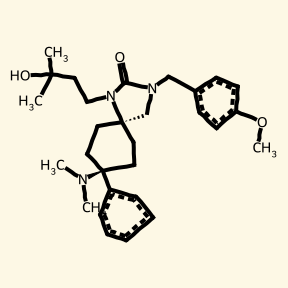 COc1ccc(CN2C[C@]3(CC[C@](c4ccccc4)(N(C)C)CC3)N(CCC(C)(C)O)C2=O)cc1